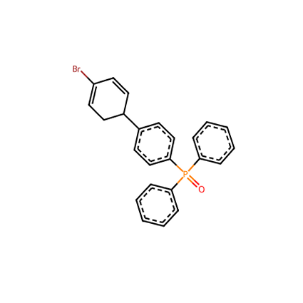 O=P(c1ccccc1)(c1ccccc1)c1ccc(C2C=CC(Br)=CC2)cc1